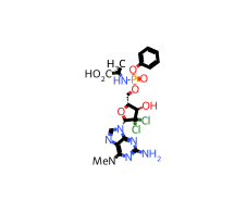 CNc1nc(N)nc2c1ncn2[C@@H]1O[C@H](CO[P@@](=O)(NC(C)C(=O)O)Oc2ccccc2)[C@@H](O)C1(Cl)Cl